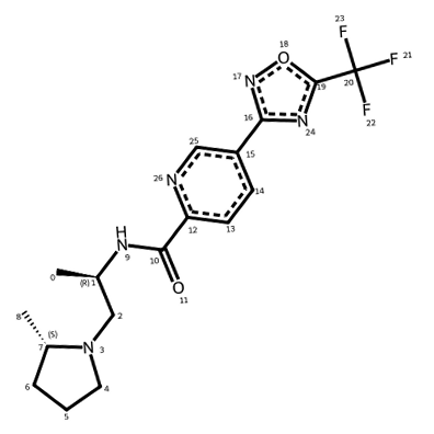 C[C@H](CN1CCC[C@@H]1C)NC(=O)c1ccc(-c2noc(C(F)(F)F)n2)cn1